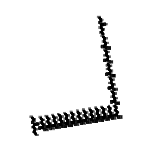 CCCCC(=O)O.CCCCC(=O)O.CCCCC(=O)O.CCCCC(=O)O.CCCCC(=O)O.CCCCC(=O)O.CCCCC(=O)O.CCCCC(=O)O.CCCCC(=O)O.CCCCC(=O)O.CCCCC(=O)O.CCCCC(=O)O.CCCCC(=O)O.CCCCC(=O)O.CCCCC(=O)O.CCCCC(=O)O.CCCCC(=O)O.CCCCC(=O)O.CCCCC(=O)OCC.CCCCC(=O)OCC